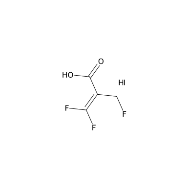 I.O=C(O)C(CF)=C(F)F